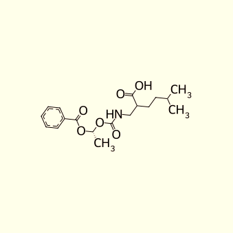 CC(C)CCC(CNC(=O)O[C@H](C)OC(=O)c1ccccc1)C(=O)O